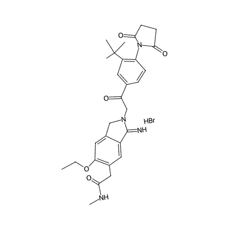 Br.CCOc1cc2c(cc1CC(=O)NC)C(=N)N(CC(=O)c1ccc(N3C(=O)CCC3=O)c(C(C)(C)C)c1)C2